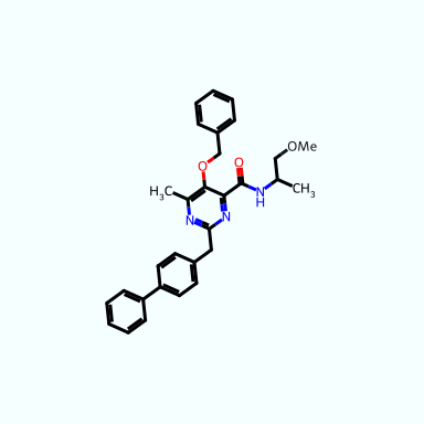 COCC(C)NC(=O)c1nc(Cc2ccc(-c3ccccc3)cc2)nc(C)c1OCc1ccccc1